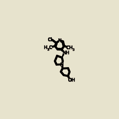 CC1=C=NC(Cl)=C(C)C=C1N[C@@H]1CCCN(C2CCC(O)CC2)C1